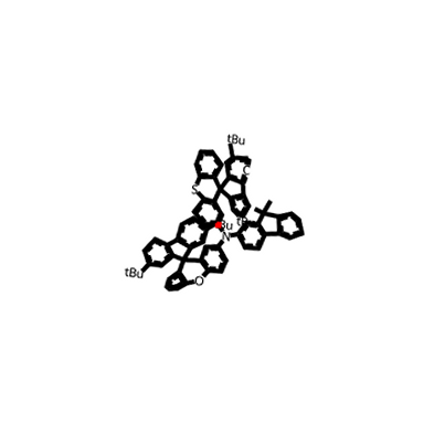 CC(C)(C)c1ccc2c(c1)C1(c3ccccc3Oc3ccc(N(c4ccc5c(c4)C(C)(C)c4ccccc4-5)c4ccc5c(c4)C4(c6ccccc6S5)c5cc(C(C)(C)C)ccc5-c5ccc(C(C)(C)C)cc54)cc31)c1cc(C(C)(C)C)ccc1-2